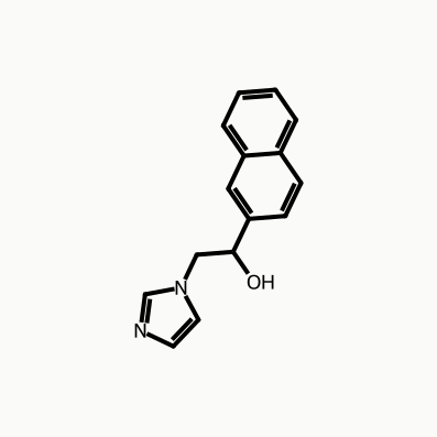 OC(Cn1ccnc1)c1ccc2ccccc2c1